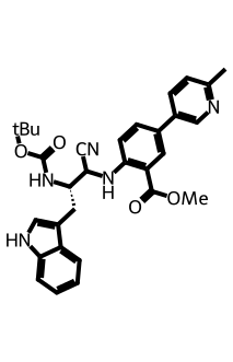 COC(=O)c1cc(-c2ccc(C)nc2)ccc1NC(C#N)[C@H](Cc1c[nH]c2ccccc12)NC(=O)OC(C)(C)C